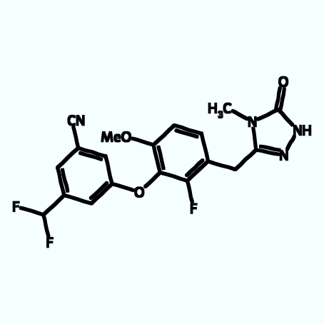 COc1ccc(Cc2n[nH]c(=O)n2C)c(F)c1Oc1cc(C#N)cc(C(F)F)c1